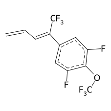 C=CC=C(c1cc(F)c(OC(F)(F)F)c(F)c1)C(F)(F)F